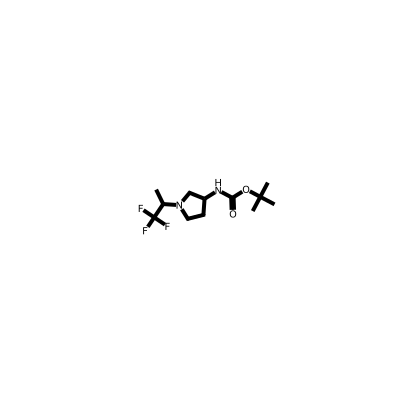 CC(N1CCC(NC(=O)OC(C)(C)C)C1)C(F)(F)F